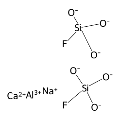 [Al+3].[Ca+2].[Na+].[O-][Si]([O-])([O-])F.[O-][Si]([O-])([O-])F